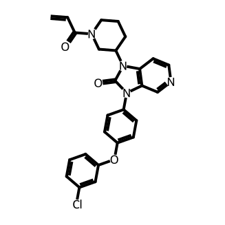 C=CC(=O)N1CCCC(n2c(=O)n(-c3ccc(Oc4cccc(Cl)c4)cc3)c3cnccc32)C1